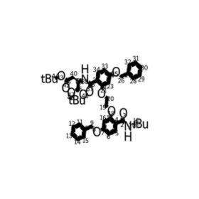 CC[C@@H](C)NC(=O)c1ccc(OCc2ccccc2)cc1OCCOc1cc(OCc2ccccc2)ccc1C(=O)N[C@H](CC(=O)OC(C)(C)C)C(=O)OC(C)(C)C